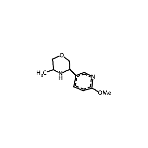 COc1ccc(C2COCC(C)N2)cn1